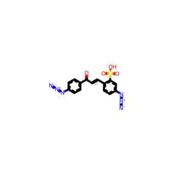 [N-]=[N+]=Nc1ccc(C(=O)/C=C/c2ccc(N=[N+]=[N-])cc2S(=O)(=O)O)cc1